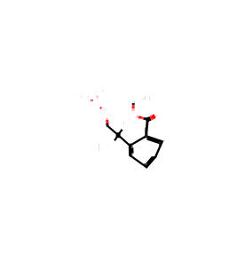 CC(C)(C)OC(=O)c1ccccc1C(C)(C)COP(=O)(O)O